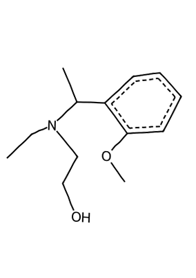 CCN(CCO)C(C)c1ccccc1OC